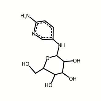 Nc1ccc(NC2OC(CO)C(O)C(O)C2O)cn1